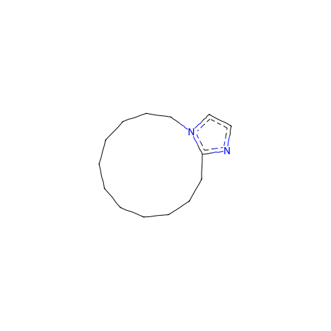 c1cn2c(n1)CCCCCCCCCCC2